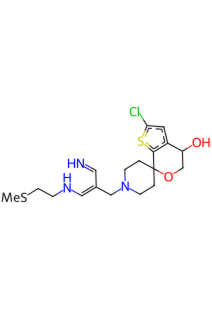 CSCCN/C=C(\C=N)CN1CCC2(CC1)OCC(O)c1cc(Cl)sc12